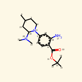 CC1CCN(c2ccc(C(=O)OC(C)(C)C)c(N)c2)C(N(C)C)C1